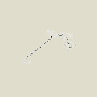 CC(=O)[C@H](CO)NC(=O)CC[C@H](NC(=O)CC[C@H](NC(=O)CCCCCCCCCCCCCCCCC(=O)O)C(=O)O)C(=O)O